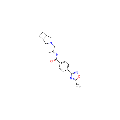 C/C(CN1CC2CCC2C1)=N\C(=O)c1ccc(-c2noc(C(F)(F)F)n2)cc1